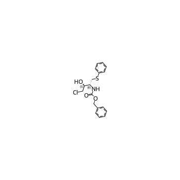 O=C(N[C@@H](CSc1ccccc1)[C@H](O)CCl)OCc1ccccc1